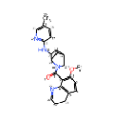 CCOc1ccc2c(c1C(=O)N1CC3CC(Nc4ccc(C(F)(F)F)cn4)C1C3)N=CCC2